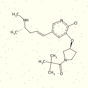 CN[C@@H](C)CC=Cc1cnc(Cl)c(O[C@H]2CCN(C(=O)C(C)(C)C)C2)c1